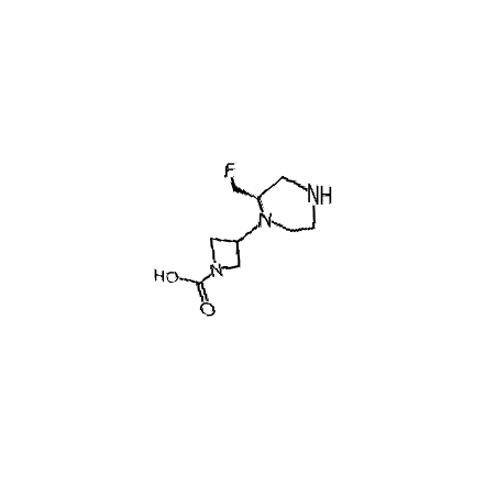 O=C(O)N1CC(N2CCNC[C@@H]2CF)C1